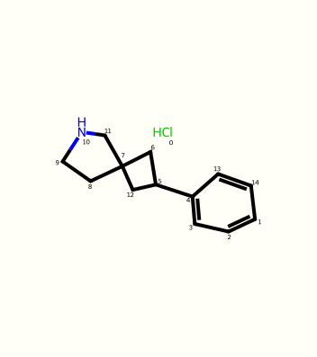 Cl.c1ccc(C2CC3(CCNC3)C2)cc1